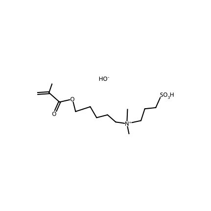 C=C(C)C(=O)OCCCCC[N+](C)(C)CCCS(=O)(=O)O.[OH-]